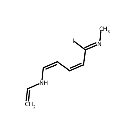 C=CN\C=C/C=C\C(I)=N\C